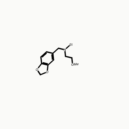 CCN(CCOC)Cc1ccc2c(c1)OCO2